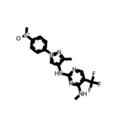 CNc1nc(Nc2cn(-c3ccc([S+](C)[O-])cc3)nc2C)ncc1C(F)(F)F